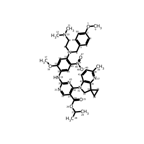 COc1ccc(CN(CCN(C)C)c2cc(OC)c(Nc3ncc(C(=O)OC(C)C)c(N4CC5(CC5)c5nc(C)ccc54)n3)cc2[N+](=O)[O-])cc1